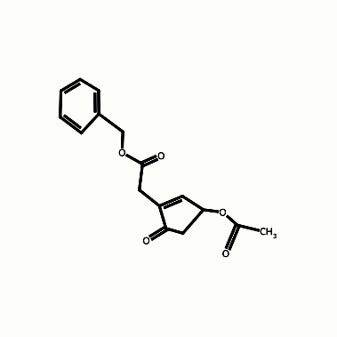 CC(=O)OC1C=C(CC(=O)OCc2ccccc2)C(=O)C1